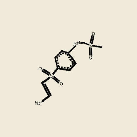 CS(=O)(=O)Nc1ccc(S(=O)(=O)/C=C/C#N)cc1